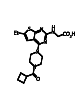 CCc1cc2c(N3CCN(C(=O)C4CCC4)CC3)nc(NCC(=O)O)nc2s1